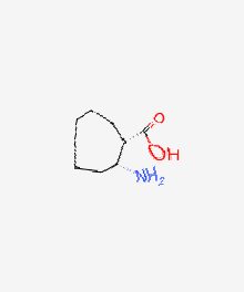 N[C@@H]1CCCCCC[C@@H]1C(=O)O